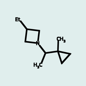 CCC1CN(C(C)C2(C)CC2)C1